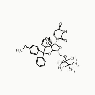 COc1ccc(C(O[C@H]2[C@@H](OC)[C@H](n3ccc(=O)[nH]c3=O)O[C@@H]2CO[Si](C)(C)C(C)(C)C)(c2ccccc2)c2ccccc2)cc1